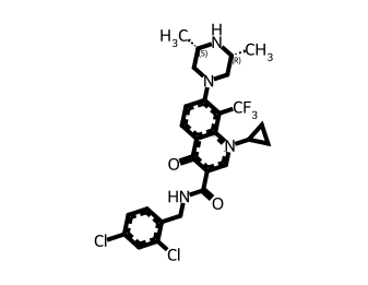 C[C@@H]1CN(c2ccc3c(=O)c(C(=O)NCc4ccc(Cl)cc4Cl)cn(C4CC4)c3c2C(F)(F)F)C[C@H](C)N1